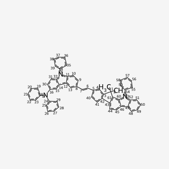 CC1(C)c2cc(/C=C/c3ccc4c(c3)c3cc(N(c5ccccc5)c5ccccc5)ccc3n4-c3ccccc3)ccc2-c2ccc3c4ccccc4n(-c4ccccc4)c3c21